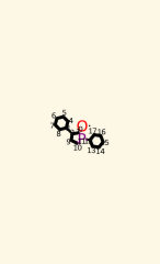 [O]c1c(-c2ccccc2)ccp1-c1ccccc1